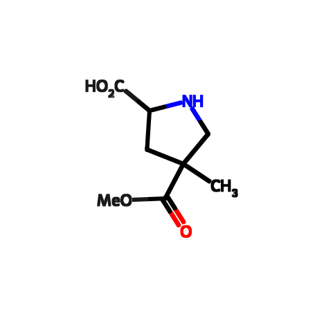 COC(=O)C1(C)CNC(C(=O)O)C1